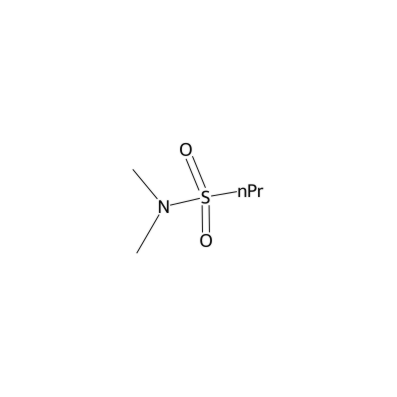 [CH2]CCS(=O)(=O)N(C)C